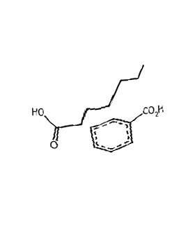 CCCCCCC(=O)O.O=C(O)c1ccccc1